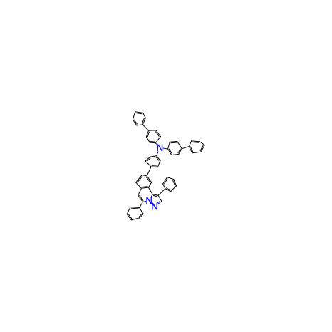 c1ccc(-c2ccc(N(c3ccc(-c4ccccc4)cc3)c3ccc(-c4ccc5cc(-c6ccccc6)n6ncc(-c7ccccc7)c6c5c4)cc3)cc2)cc1